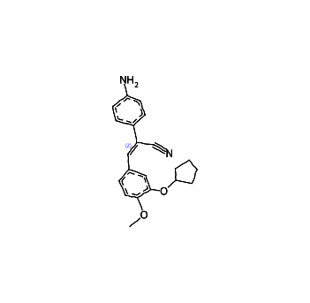 COc1ccc(/C=C(\C#N)c2ccc(N)cc2)cc1OC1CCCC1